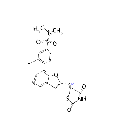 CN(C)S(=O)(=O)c1ccc(-c2cncc3cc(/C=C4\SC(=O)NC4=O)oc23)c(F)c1